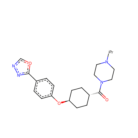 CC(C)N1CCN(C(=O)[C@H]2CC[C@H](Oc3ccc(-c4nnco4)cc3)CC2)CC1